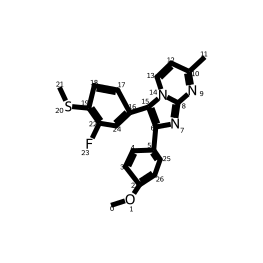 COc1ccc(-c2nc3nc(C)ccn3c2-c2ccc(SC)c(F)c2)cc1